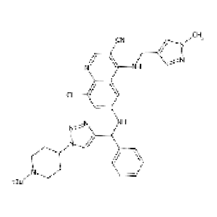 Cn1cc(CNc2c(C#N)cnc3c(Cl)cc(NC(c4ccccc4)c4cn(C5CCN(C(C)(C)C)CC5)nn4)cc23)cn1